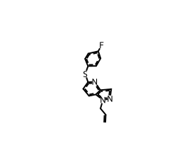 C=CCn1ncc2nc(Sc3ccc(F)cc3)ccc21